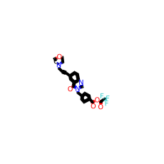 O=C(OC(=O)C(F)(F)F)c1ccc(Cn2cnc3ccc(C#CCN4CCOCC4)cc3c2=O)cc1